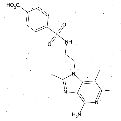 Cc1nc(N)c2nc(C)n(CCNS(=O)(=O)c3ccc(C(=O)O)cc3)c2c1C